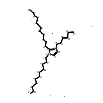 CCCCCCCCCCCc1n(CCCCCCCCCCC)cc[n+]1CCCCCC